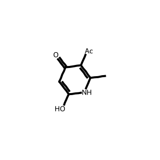 CC(=O)c1c(C)[nH]c(O)cc1=O